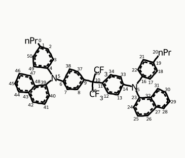 CCCc1ccc(N(c2ccc(C(c3ccc(N(c4ccc(CCC)cc4)c4cccc5ccccc45)cc3)(C(F)(F)F)C(F)(F)F)cc2)c2cccc3ccccc23)cc1